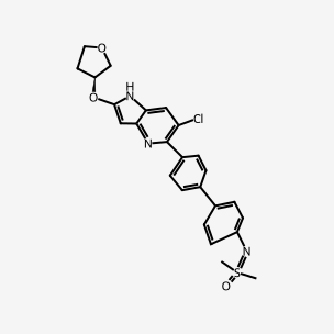 CS(C)(=O)=Nc1ccc(-c2ccc(-c3nc4cc(O[C@H]5CCOC5)[nH]c4cc3Cl)cc2)cc1